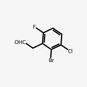 O=CCc1c(F)ccc(Cl)c1Br